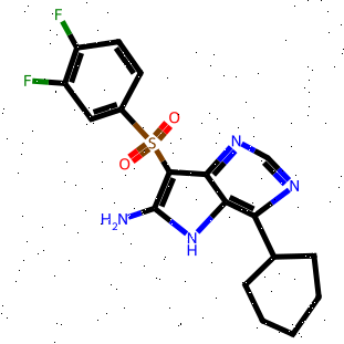 Nc1[nH]c2c(C3CCCCC3)ncnc2c1S(=O)(=O)c1ccc(F)c(F)c1